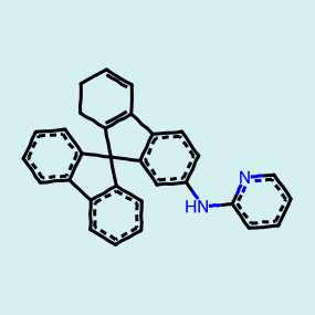 C1=CC2=C(CC1)C1(c3cc(Nc4ccccn4)ccc32)c2ccccc2-c2ccccc21